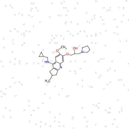 COc1cc2c(NCC3CC3)c3c(nc2cc1OCC(O)CN1CCCC1)CC(C)C3